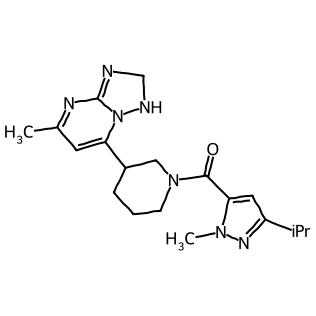 CC1=NC2=NCNN2C(C2CCCN(C(=O)c3cc(C(C)C)nn3C)C2)=C1